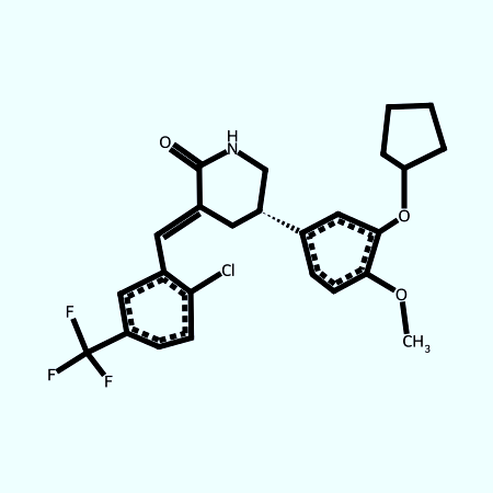 COc1ccc([C@H]2CNC(=O)C(=Cc3cc(C(F)(F)F)ccc3Cl)C2)cc1OC1CCCC1